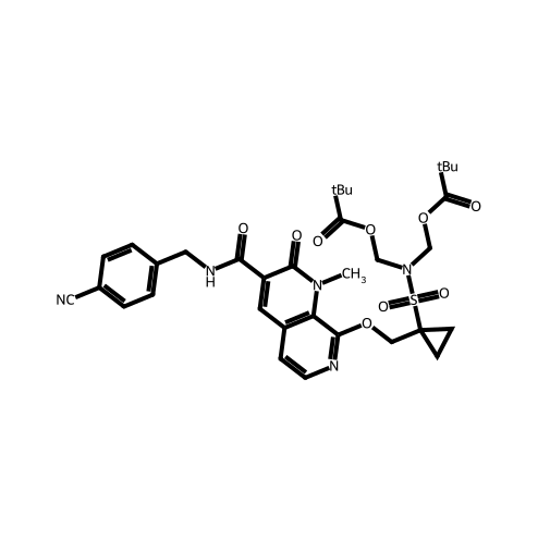 Cn1c(=O)c(C(=O)NCc2ccc(C#N)cc2)cc2ccnc(OCC3(S(=O)(=O)N(COC(=O)C(C)(C)C)COC(=O)C(C)(C)C)CC3)c21